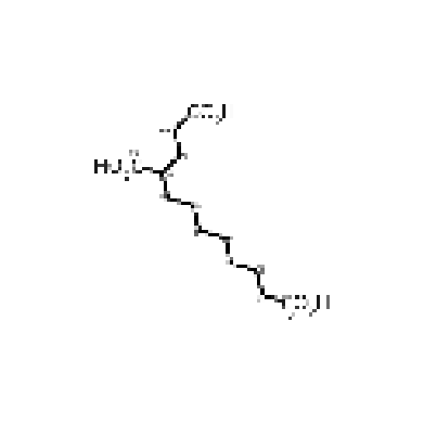 O=C(O)CCCCCCCC(CCC(=O)O)C(=O)O